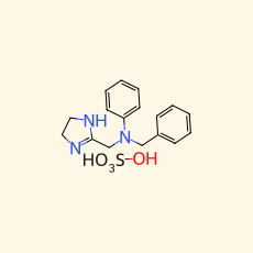 O=S(=O)(O)O.c1ccc(CN(CC2=NCCN2)c2ccccc2)cc1